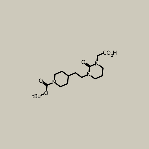 CC(C)(C)OC(=O)N1CCC(CCN2CCCN(CC(=O)O)C2=O)CC1